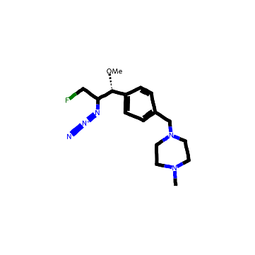 CO[C@H](c1ccc(CN2CCN(C)CC2)cc1)C(CF)N=[N+]=[N-]